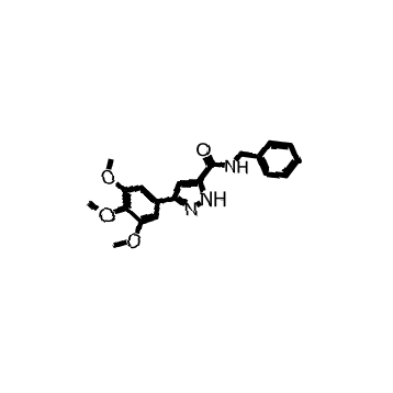 COc1cc(-c2cc(C(=O)NCc3ccccc3)[nH]n2)cc(OC)c1OC